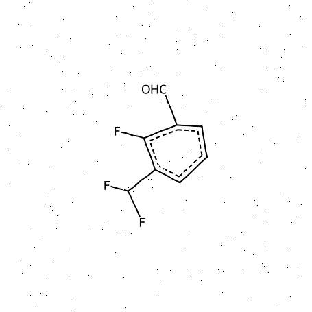 O=Cc1cccc(C(F)F)c1F